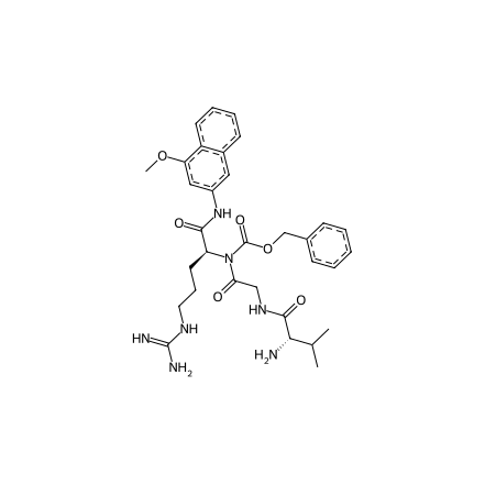 COc1cc(NC(=O)[C@H](CCCNC(=N)N)N(C(=O)CNC(=O)[C@@H](N)C(C)C)C(=O)OCc2ccccc2)cc2ccccc12